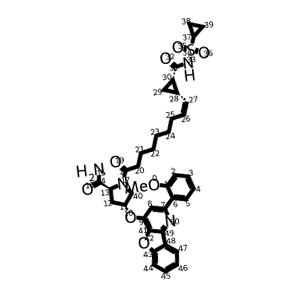 COc1ccccc1-c1cc(O[C@@H]2C[C@@H](C(N)=O)N(C(=O)CCCCCC/C=C\[C@@H]3C[C@@H]3C(=O)NS(=O)(=O)C3CC3)C2)c2oc3ccccc3c2n1